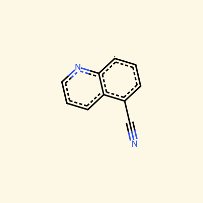 N#Cc1cc[c]c2ncccc12